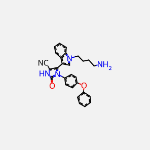 N#Cc1[nH]c(=O)n(-c2ccc(Oc3ccccc3)cc2)c1-c1cn(CCCCN)c2ccccc12